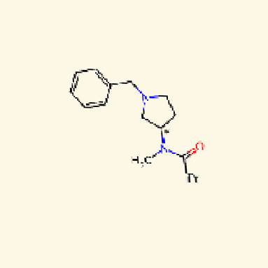 CC(C)C(=O)N(C)[C@@H]1CCN(Cc2ccccc2)C1